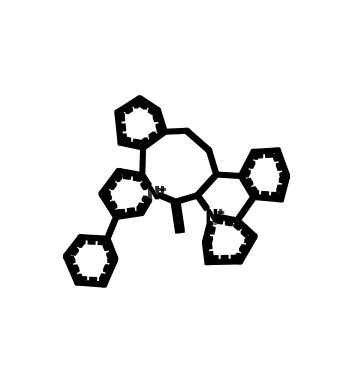 C=C1C2C(CCc3ccccc3-c3ccc(-c4ccccc4)c[n+]31)c1ccccc1-c1cccc[n+]12